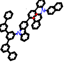 c1ccc(-c2cccc(-c3cc(-c4cccc(-c5ccccc5)c4)cc(-n4c5ccccc5c5cc(-c6ccc(-c7ccccc7N(c7ccc8ccccc8c7)c7ccc8ccccc8c7)cc6)ccc54)c3)c2)cc1